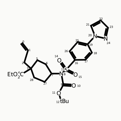 C=CCC1(C(=O)OCC)CCC(N(C(=O)OC(C)(C)C)S(=O)(=O)c2ccc(-n3cccn3)cc2)CC1